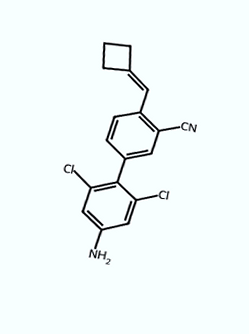 N#Cc1cc(-c2c(Cl)cc(N)cc2Cl)ccc1C=C1CCC1